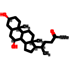 CNC(=O)CC[C@@H](C)[C@H]1CCC2C3C(CC[C@@]21C)[C@@]1(C)CC[C@@H](O)CC1C[C@H]3O